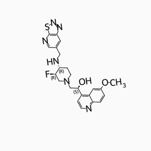 COc1ccc2nccc([C@H](O)CN3CC[C@@H](NCc4cnc5snnc5c4)[C@H](F)C3)c2c1